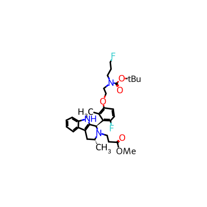 COC(=O)CCN1[C@H](c2c(F)ccc(OCCN(CCCF)C(=O)OC(C)(C)C)c2C)c2[nH]c3ccccc3c2C[C@H]1C